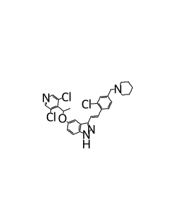 CC(Oc1ccc2[nH]nc(/C=C/c3ccc(CN4CCCCC4)cc3Cl)c2c1)c1c(Cl)cncc1Cl